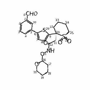 O=Cc1cccc(-c2ccc([C@@]3(CC(=O)NOC4CCCCO4)CCCCS3(=O)=O)s2)c1